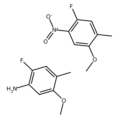 COc1cc(N)c(F)cc1C.COc1cc([N+](=O)[O-])c(F)cc1C